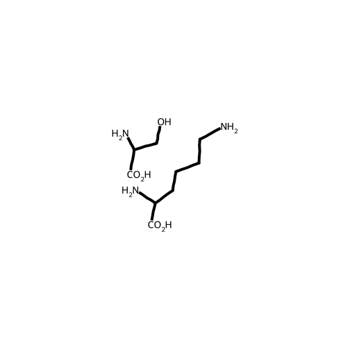 NC(CO)C(=O)O.NCCCCC(N)C(=O)O